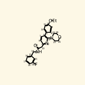 CCOc1ccc(-c2ccc(CC(=O)NCc3cccc(F)c3)nc2N2CCOCC2)cc1